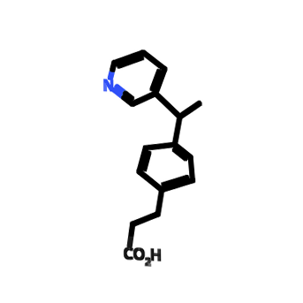 CC(c1ccc(CCC(=O)O)cc1)c1cccnc1